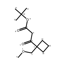 COCC1(C(=O)CC(=O)OC(C)(C)C)CCC1